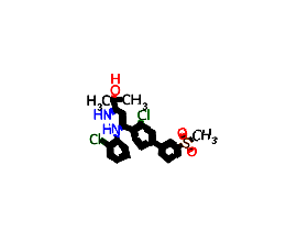 CC(C)(O)C(=N)/C=C(\Nc1ccccc1Cl)c1ccc(-c2cccc(S(C)(=O)=O)c2)cc1Cl